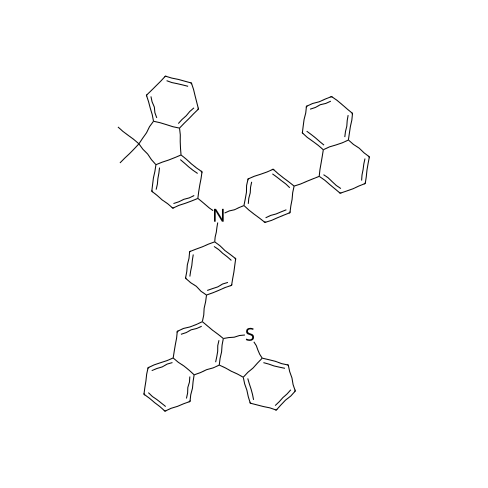 CC1(C)c2ccccc2-c2cc(N(c3ccc(-c4cccc5ccccc45)cc3)c3ccc(-c4cc5ccccc5c5c4sc4ccccc45)cc3)ccc21